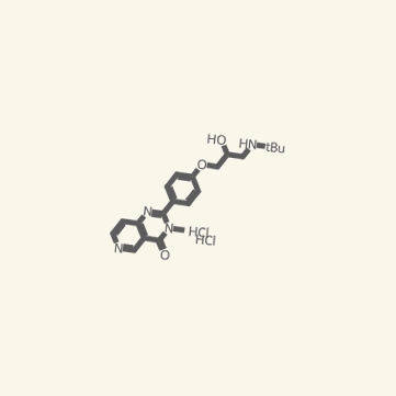 Cl.Cl.Cn1c(-c2ccc(OCC(O)CNC(C)(C)C)cc2)nc2ccncc2c1=O